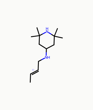 C/C=C/CNC1CC(C)(C)NC(C)(C)C1